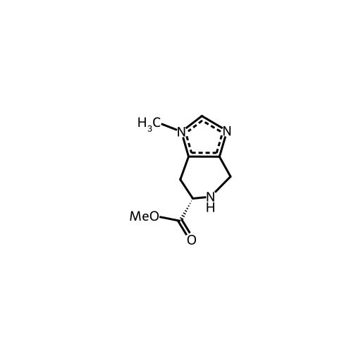 COC(=O)[C@@H]1Cc2c(ncn2C)CN1